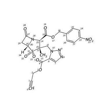 C#CCOC(=O)c1cnnn1C[C@@]1(C)[C@H](C(=O)OCc2ccc([N+](=O)[O-])cc2)N2C(=O)C[C@H]2S1(=O)=O